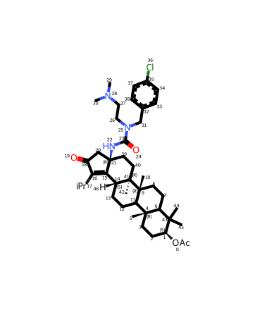 CC(=O)O[C@H]1CC[C@@]2(C)C(CC[C@]3(C)C2CC[C@@H]2C4=C(C(C)C)C(=O)C[C@]4(NC(=O)N(CCN(C)C)Cc4ccc(Cl)cc4)CC[C@]23C)C1(C)C